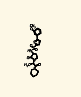 COc1cccc(-c2ccc(S(=O)(=O)NC3CCN(C(C)C(=O)N4CCCCC4)C3=O)s2)c1